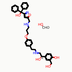 O=CO.OCc1cc([C@@H](O)CNCCc2ccc(OCCCNCc3cc(C(O)(c4ccccc4)c4ccccc4)no3)cc2)ccc1O